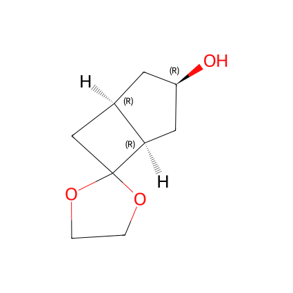 O[C@@H]1C[C@@H]2CC3(OCCO3)[C@@H]2C1